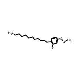 CCCCCCCCCCCCc1ccc(SOC)cc1Br